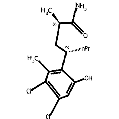 CCC[C@@H](C[C@@H](C)C(N)=O)c1c(O)cc(Cl)c(Cl)c1C